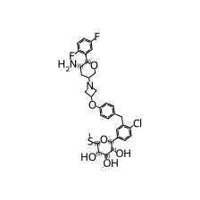 CS[C@H]1O[C@@H](c2ccc(Cl)c(Cc3ccc(OC4CN(C5CO[C@H](c6cc(F)ccc6F)[C@@H](N)C5)C4)cc3)c2)[C@H](O)[C@@H](O)[C@@H]1O